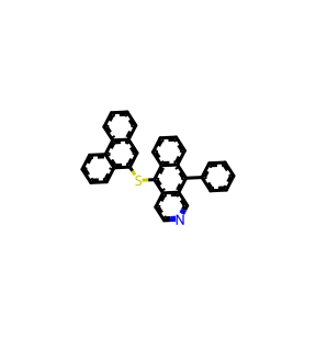 c1ccc(-c2c3ccccc3c(Sc3cc4ccccc4c4ccccc34)c3ccncc23)cc1